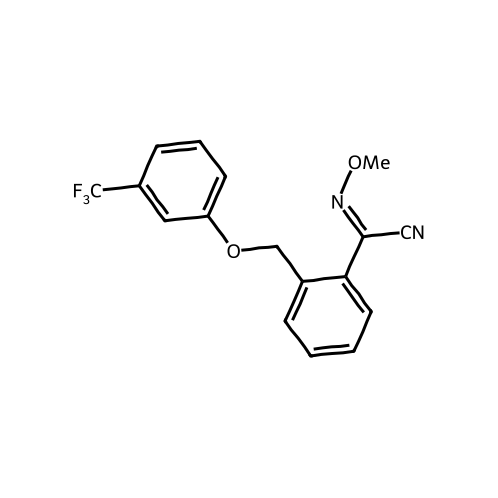 CON=C(C#N)c1ccccc1COc1cccc(C(F)(F)F)c1